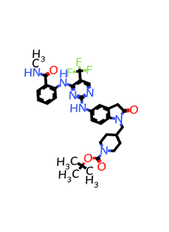 CNC(=O)c1ccccc1Nc1nc(Nc2ccc3c(c2)CC(=O)N3CC2CCN(C(=O)OC(C)(C)C)CC2)ncc1C(F)(F)F